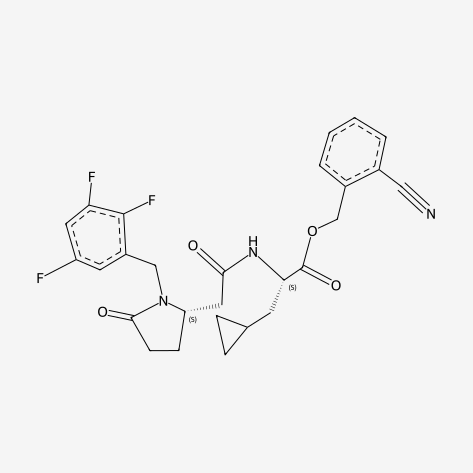 N#Cc1ccccc1COC(=O)[C@H](CC1CC1)NC(=O)C[C@@H]1CCC(=O)N1Cc1cc(F)cc(F)c1F